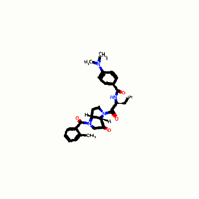 Cc1ccccc1C(=O)N1CC(=O)[C@@H]2[C@H]1CCN2C(=O)[C@H](CC(C)C)NC(=O)c1ccc(N(C)C)cc1